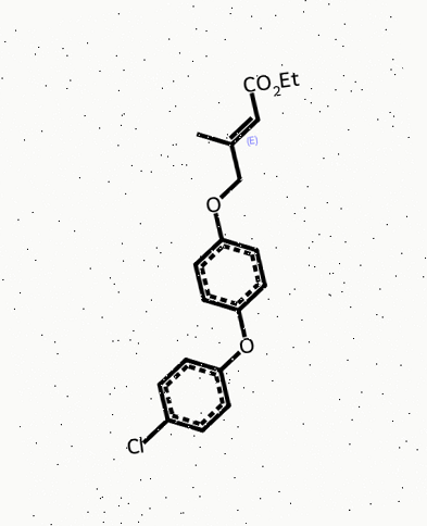 CCOC(=O)/C=C(\C)COc1ccc(Oc2ccc(Cl)cc2)cc1